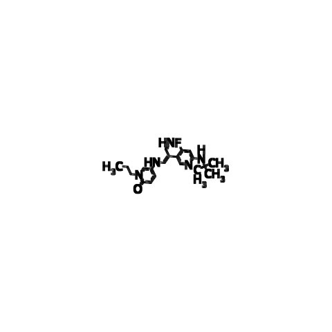 CCCn1cc(N/C=C(\C=N)c2cnc(NC(C)(C)C)cc2F)ccc1=O